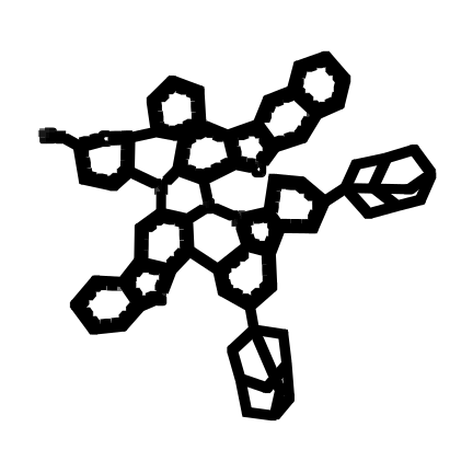 CC(C)(C)c1ccc(N2c3cc4c(sc5ccccc54)c4c3B(c3c2ccc2c3oc3cc5ccccc5cc32)n2c3ccc(C56CC7CC(CC(C7)C5)C6)cc3c3cc(C56CC7CC(CC(C7)C5)C6)cc-4c32)c(-c2ccccc2)c1